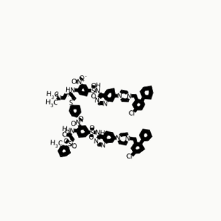 CN(C)CC[C@@H](CSc1ccccc1)Nc1ccc(S(=O)(=O)Nc2ncnc3cc(N4CCN(Cc5cc(Cl)ccc5-c5ccccc5)CC4)ccc23)cc1[N+](=O)[O-].Cc1ccccc1S(=O)(=O)CC(C)Nc1ccc(S(=O)(=O)Nc2ncnc3cc(N4CCN(Cc5cc(Cl)ccc5-c5ccccc5)CC4)ccc23)cc1[N+](=O)[O-]